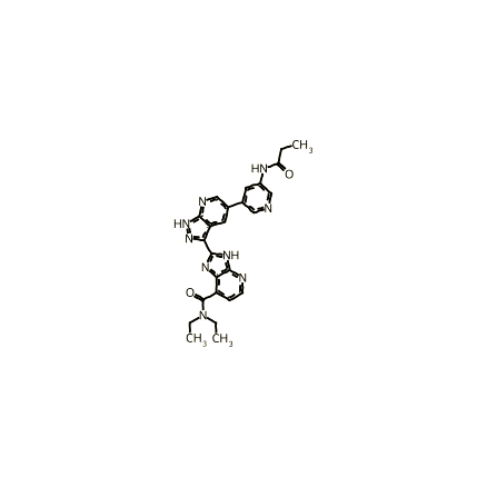 CCC(=O)Nc1cncc(-c2cnc3[nH]nc(-c4nc5c(C(=O)N(CC)CC)ccnc5[nH]4)c3c2)c1